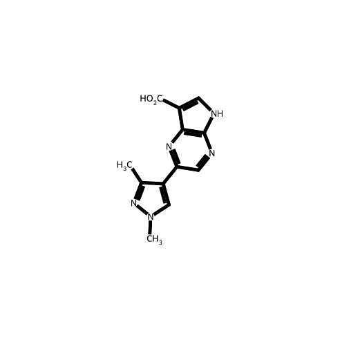 Cc1nn(C)cc1-c1cnc2[nH]cc(C(=O)O)c2n1